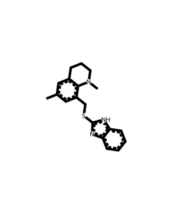 Cc1cc2c(c(CSc3nc4ccccc4[nH]3)c1)N(C)CCC2